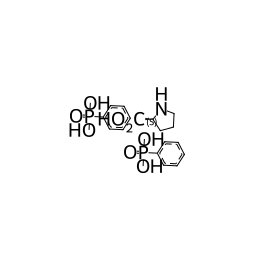 O=C(O)[C@@H]1CCCN1.O=P(O)(O)c1ccccc1.O=P(O)(O)c1ccccc1